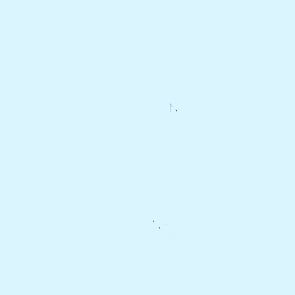 CN(CCCCCN)CC1CCCCC1